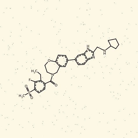 CCc1c(C(=O)N2CCOc3ccc(-c4ccc5nc(CNC6CCCC6)[nH]c5c4)cc3C2)ccc(S(C)(=O)=O)c1F